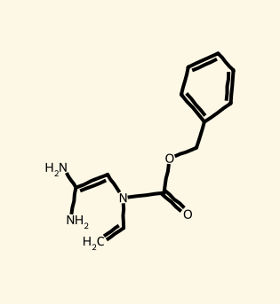 C=CN(C=C(N)N)C(=O)OCc1ccccc1